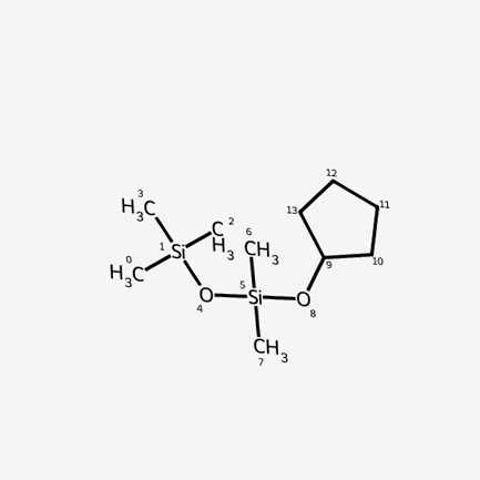 C[Si](C)(C)O[Si](C)(C)OC1CCCC1